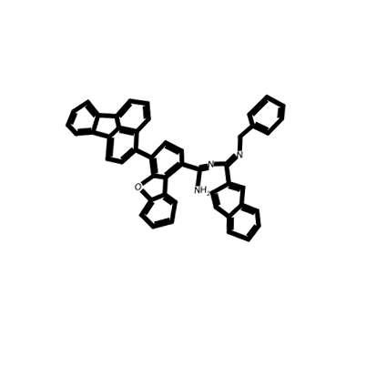 N/C(=N\C(=N/Cc1ccccc1)c1ccc2ccccc2c1)c1ccc(-c2ccc3c4c(cccc24)-c2ccccc2-3)c2oc3ccccc3c12